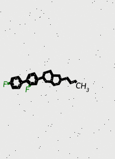 CCCCC1CCC2CC(c3ccc(-c4ccc(F)cc4)c(F)c3)CCC2C1